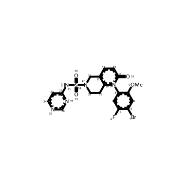 COc1cc(Br)c(F)cc1-n1c2c(ccc1=O)CN(S(=O)(=O)Nc1ccncn1)CC2